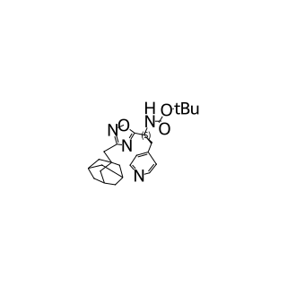 CC(C)(C)OC(=O)N[C@@H](Cc1ccncc1)c1nc(CC23CC4CC(CC(C4)C2)C3)no1